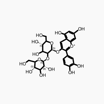 OCC1O[C@@H](Oc2cc3c(O)cc(O)cc3[o+]c2-c2ccc(O)c(O)c2)C(O[C@@H]2OC(CO)[C@@H](O)C(O)[C@H]2O)C(O)[C@@H]1O